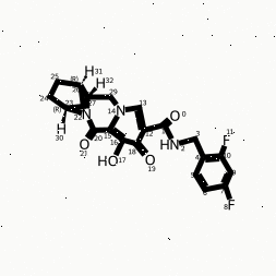 O=C(NCc1ccc(F)cc1F)c1cn2c(c(O)c1=O)C(=O)N1[C@@H]3CC[C@H](C3)[C@@H]1C2